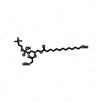 CCCCCCCCCCCCCCCCCCCCCC(=O)OC[C@H](COP(=O)(O)OCC[N+](C)(C)C)OC(=O)CCCCCCCCCCC